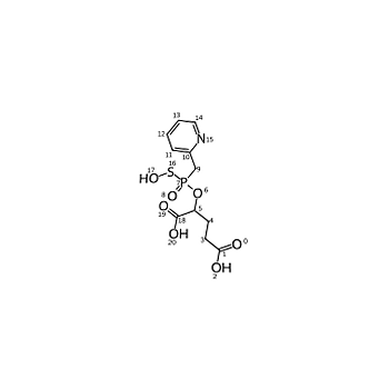 O=C(O)CCC(OP(=O)(Cc1ccccn1)SO)C(=O)O